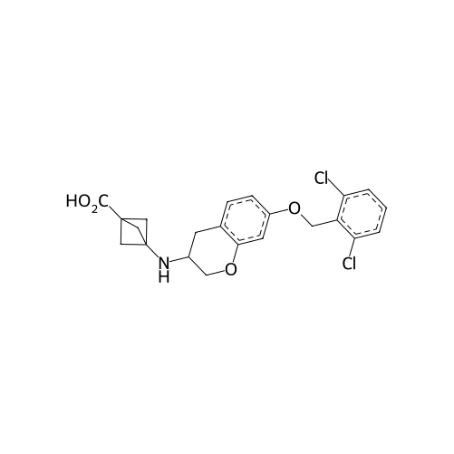 O=C(O)C12CC(NC3COc4cc(OCc5c(Cl)cccc5Cl)ccc4C3)(C1)C2